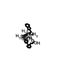 Cc1cc(-c2ccccc2CCC(=O)O)ccc1S(=O)(=O)N(C)C[C@H](O)CNC(C)(C)CC1Cc2ccccc2C1